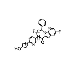 O=C(Nc1ccc(N2CC(O)C2)nc1)c1cc2cc(F)cnc2n1C(c1ccccc1)C(F)(F)F